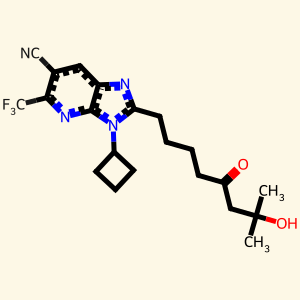 CC(C)(O)CC(=O)CCCCc1nc2cc(C#N)c(C(F)(F)F)nc2n1C1CCC1